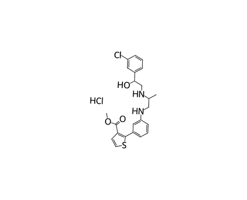 COC(=O)c1ccsc1-c1cccc(NCC(C)NCC(O)c2cccc(Cl)c2)c1.Cl